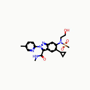 CNC(=O)c1c2cc(C3CC3)c(N(CCO)S(C)(=O)=O)cc2nn1-c1ccc(C)cn1